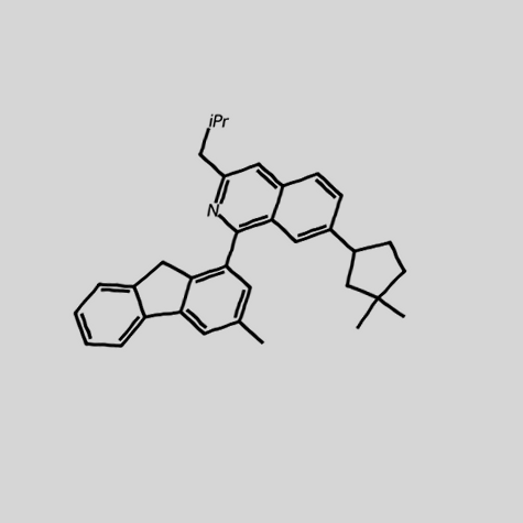 Cc1cc2c(c(-c3nc(CC(C)C)cc4ccc(C5CCC(C)(C)C5)cc34)c1)Cc1ccccc1-2